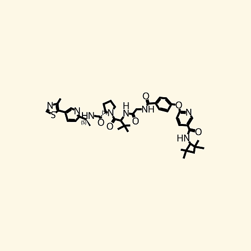 Cc1ncsc1-c1ccc([C@H](C)NC(=O)[C@@H]2CCCN2C(=O)C(NC(=O)CNC(=O)c2ccc(Oc3ccc(C(=O)NC4C(C)(C)CC4(C)C)cn3)cc2)C(C)(C)C)nc1